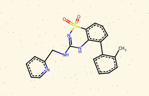 Cc1ccccc1-c1cccc2c1NC(NCc1ccccn1)=NS2(=O)=O